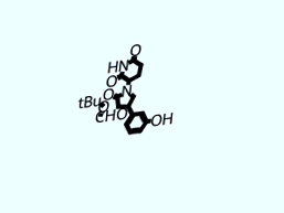 CC(C)(C)OC=O.O=C1CCC(N2CC(c3cccc(O)c3)CC2=O)C(=O)N1